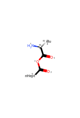 CCCCCCCC(=O)OC(=O)[C@@H](N)[C@@H](C)CC